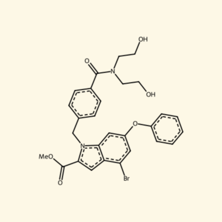 COC(=O)c1cc2c(Br)cc(Oc3ccccc3)cc2n1Cc1ccc(C(=O)N(CCO)CCO)cc1